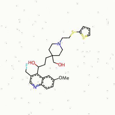 COc1ccc2ncc(CF)c(C(O)CCC3(CO)CCN(CCSc4cccs4)CC3)c2c1